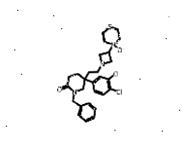 O=C1CCC(CCN2CC([N+]3([O-])CCSCC3)C2)(c2ccc(Cl)c(Cl)c2)CN1Cc1ccccc1